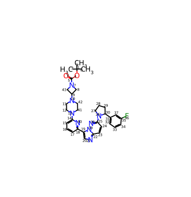 CC(C)(C)OC(=O)N1CC(N2CCN(c3cccc(-c4cnc5ccc(N6CCCC6c6cccc(F)c6)nn45)n3)CC2)C1